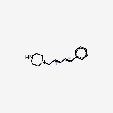 C(/C=C/c1ccccc1)=C\CN1CCNCC1